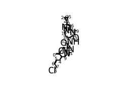 C=C(Cl)C(C/C=C\CCl)Cn1cnc(C(=O)N[C@H]2CCn3nc(C4CC4)cc3N(C)C2=O)n1